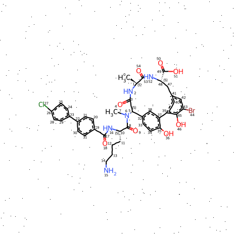 C[C@@H]1NC(=O)[C@@H](N(C)C(=O)[C@H](CCCCN)NC(=O)c2ccc(-c3ccc(Cl)cc3)cc2)c2ccc(O)c(c2)-c2cc(cc(Br)c2O)C[C@@H](C(=O)O)NC1=O